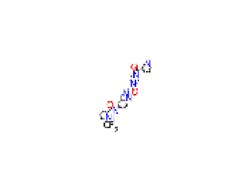 O=C(Nc1ccc2nn(CC(=O)N3CCN(C(=O)c4cccnc4)CC3)cc2c1)c1cccc(C(F)(F)F)n1